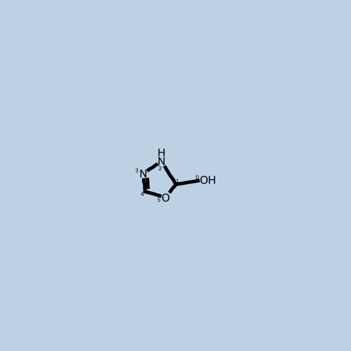 O[C]1NN=CO1